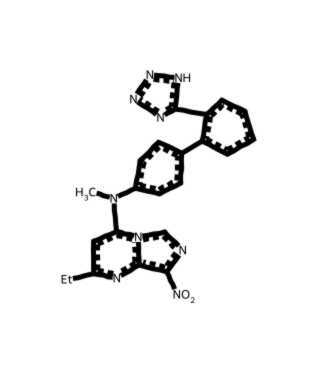 CCc1cc(N(C)c2ccc(-c3ccccc3-c3nnn[nH]3)cc2)n2cnc([N+](=O)[O-])c2n1